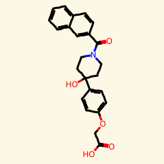 O=C(O)COc1ccc(C2(O)CCN(C(=O)c3ccc4ccccc4c3)CC2)cc1